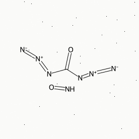 N=O.[N-]=[N+]=NC(=O)N=[N+]=[N-]